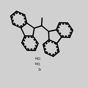 CC(C1c2ccccc2-c2ccccc21)C1c2ccccc2-c2ccccc21.Cl.Cl.[Zr]